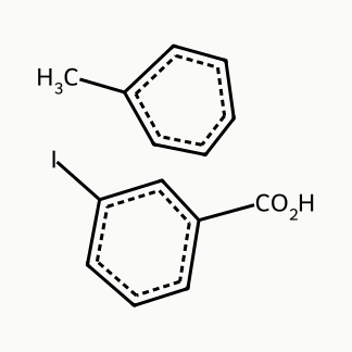 Cc1ccccc1.O=C(O)c1cccc(I)c1